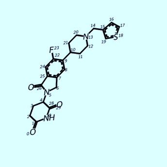 O=C1CCC(N2Cc3cc(C4CCN(Cc5ccsc5)CC4)c(F)cc3C2=O)C(=O)N1